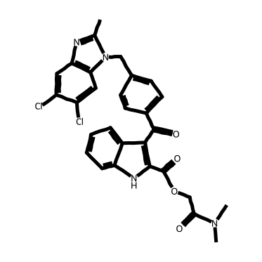 Cc1nc2cc(Cl)c(Cl)cc2n1Cc1ccc(C(=O)c2c(C(=O)OCC(=O)N(C)C)[nH]c3ccccc23)cc1